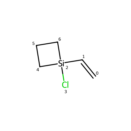 C=C[Si]1(Cl)CCC1